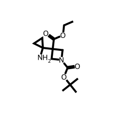 CCOC(=O)C1(C2(N)CC2)CN(C(=O)OC(C)(C)C)C1